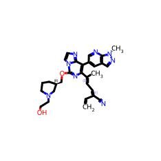 C=C/C(C#N)=C\C=C(/C)c1nc(OC[C@@H]2CCCN(CCO)C2)n2ccnc2c1-c1cnc2c(cnn2C)c1